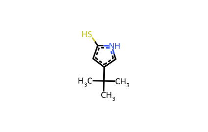 CC(C)(C)c1c[nH]c(S)c1